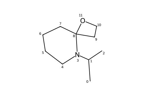 CC(C)N1CCCCC12CCO2